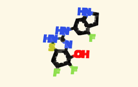 Oc1c(F)c(F)cc2c1N=C(Nc1cc(F)c3cc[nH]c3c1)NS2